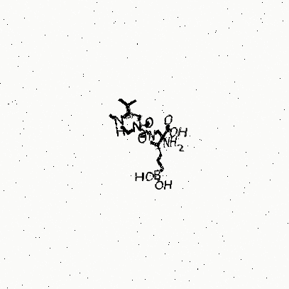 CCN(C[C@@H](NC)C(C)C)S(=O)(=O)N1C[C@H](CCCB(O)O)[C@](N)(C(=O)O)C1